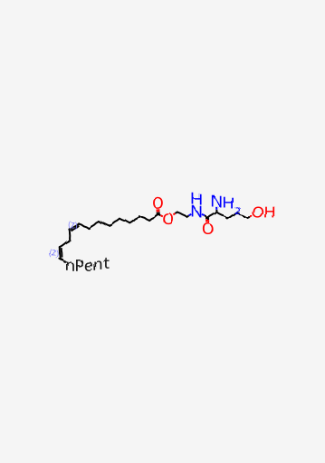 CCCCC/C=C\C/C=C\CCCCCCCC(=O)OCCNC(=O)C(N)CCCO